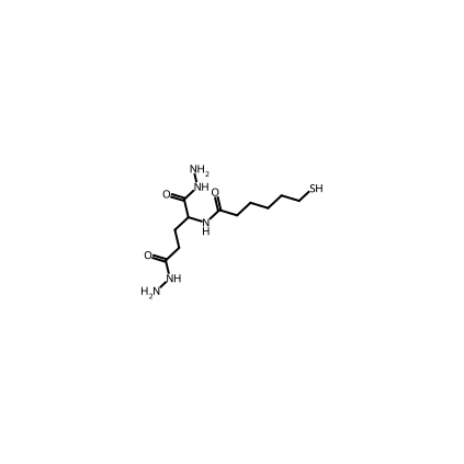 NNC(=O)CCC(NC(=O)CCCCCS)C(=O)NN